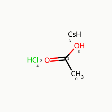 CC(=O)O.Cl.[CsH]